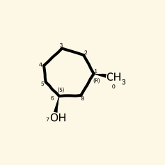 C[C@@H]1CCCC[C@H](O)C1